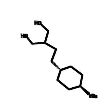 CCCC[C@H]1CC[C@H](CCC(CO)CO)CC1